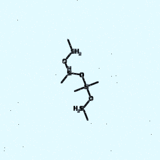 C[SiH2]O[SiH](C)O[Si](C)(C)O[SiH2]C